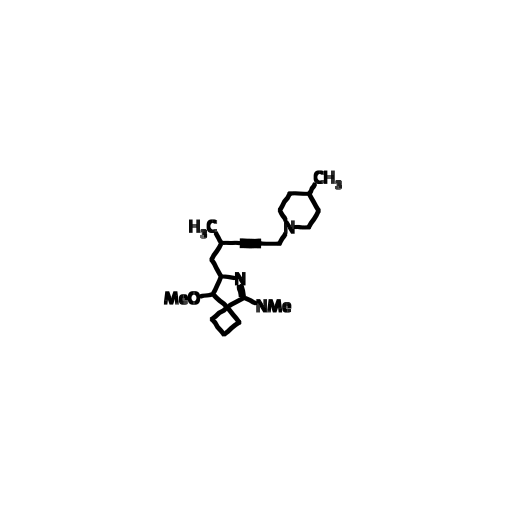 CNC1=NC(CC(C)C#CCN2CCC(C)CC2)C(OC)C12CCC2